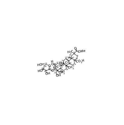 COC(=O)[C@@]1(C)CC[C@]2(C(=O)O)CC[C@]3(C)C(=CC[C@@H]4[C@@]5(C)C[C@H](O)[C@H](O[C@@H]6OC[C@@H](O)[C@H](O)[C@H]6O)[C@@](C)(CO)[C@@H]5CC[C@]43C)[C@@H]2C1